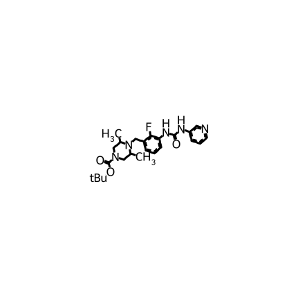 CC1CN(C(=O)OC(C)(C)C)CC(C)N1Cc1cccc(NC(=O)Nc2cccnc2)c1F